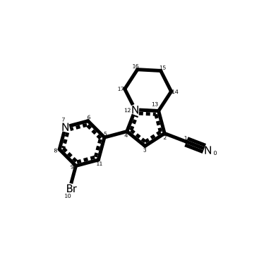 N#Cc1cc(-c2cncc(Br)c2)n2c1CCCC2